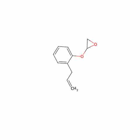 C=CCc1ccccc1OC1CO1